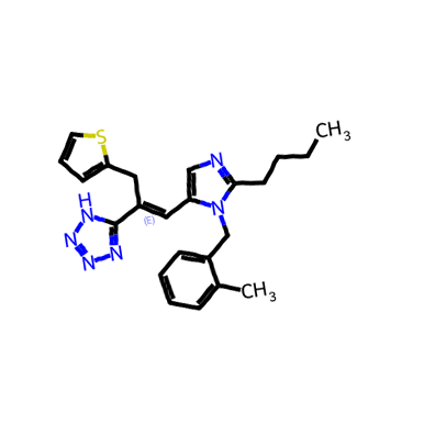 CCCCc1ncc(/C=C(\Cc2cccs2)c2nnn[nH]2)n1Cc1ccccc1C